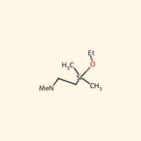 CCO[Si](C)(C)CCNC